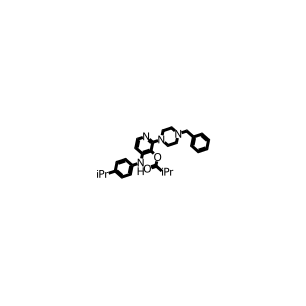 CC(C)C(=O)Oc1c(Nc2ccc(C(C)C)cc2)ccnc1N1CCN(Cc2ccccc2)CC1